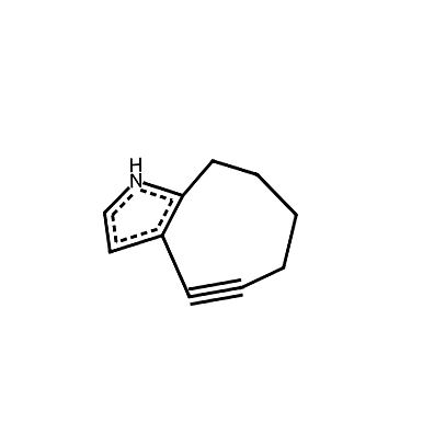 C1#Cc2cc[nH]c2CCCC1